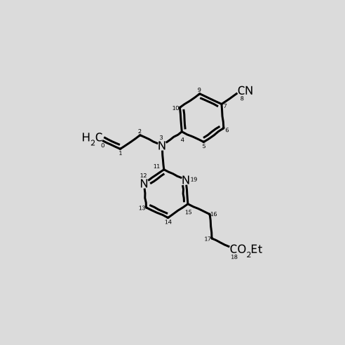 C=CCN(c1ccc(C#N)cc1)c1nccc(CCC(=O)OCC)n1